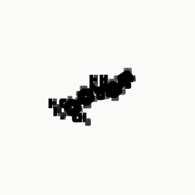 C=C/C=C(\C=C(\C)N)c1ccc(NC(=O)Nc2cccc(-c3cccs3)c2)cc1